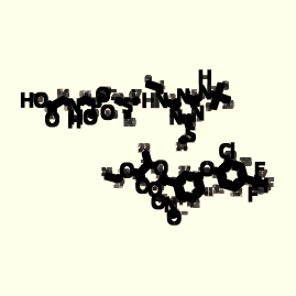 CCNc1nc(NC(C)(C)C)nc(SC)n1.CCOC(=O)C(C)OC(=O)c1cc(Oc2ccc(C(F)(F)F)cc2Cl)ccc1[N+](=O)[O-].C[S+](C)C.O=C(O)CNCP(=O)([O-])O